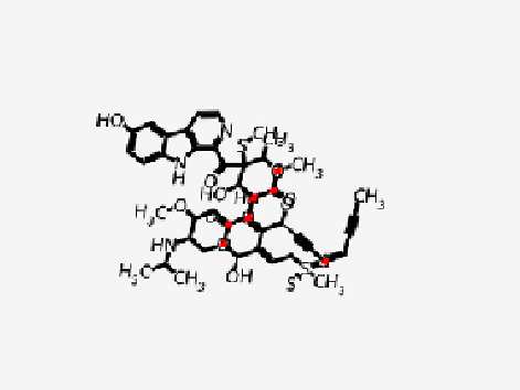 CC#C/C=C\C#C[C@H](OC1OC(C)C(SC)(C(=O)c2nccc3c2[nH]c2ccc(O)cc23)C(O)C1OC1CC(OC)C(NC(C)C)CO1)C1=C(NC(=O)OC)C(=O)C[C@H](O)/C1=C/CS(C)(=S)=S